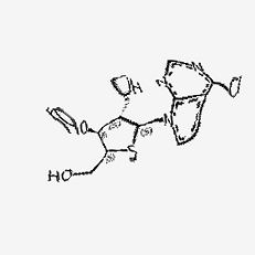 OC[C@@H]1S[C@H](n2ccc3c(Cl)ncnc32)[C@@H](O)[C@@H]1O